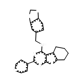 c1cc(-c2nc(NCc3ccc4c(c3)OCO4)c3c4c(sc3n2)CCCC4)ccn1